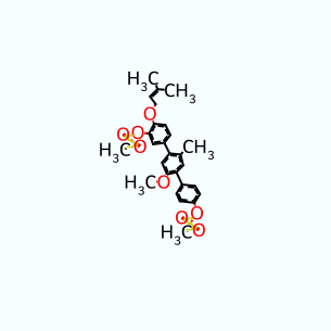 COc1cc(-c2ccc(OCC=C(C)C)c(OS(C)(=O)=O)c2)c(C)cc1-c1ccc(OS(C)(=O)=O)cc1